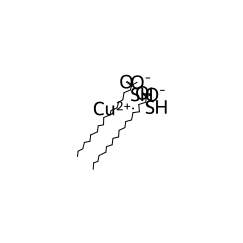 CCCCCCCCCCCCCCCCC(S)C(=O)[O-].CCCCCCCCCCCCCCCCC(S)C(=O)[O-].[Cu+2]